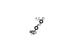 CS(=O)(=O)NC(=O)c1ccc(COc2ccc(Cl)c(C(F)(F)F)c2)cc1